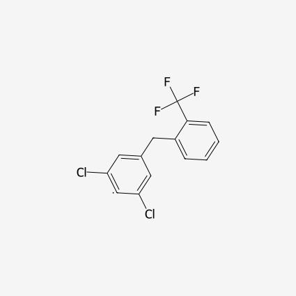 FC(F)(F)c1ccccc1Cc1cc(Cl)[c]c(Cl)c1